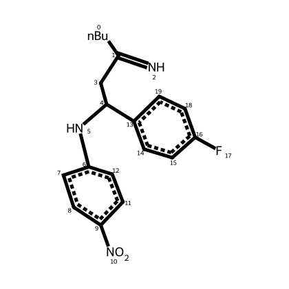 CCCCC(=N)CC(Nc1ccc([N+](=O)[O-])cc1)c1ccc(F)cc1